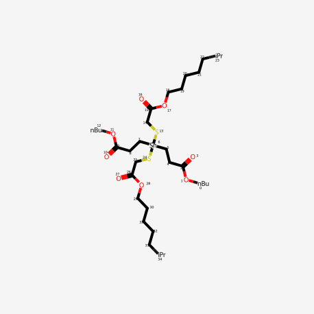 CCCCOC(=O)C[CH2][Sn]([CH2]CC(=O)OCCCC)([S]CC(=O)OCCCCCC(C)C)[S]CC(=O)OCCCCCC(C)C